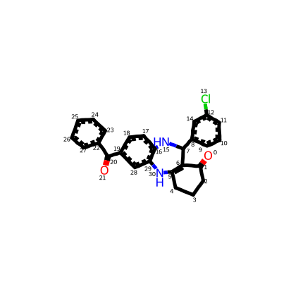 O=C1CCCC2=C1C(c1cccc(Cl)c1)Nc1ccc(C(=O)c3ccccc3)cc1N2